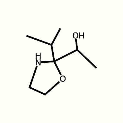 CC(C)C1(C(C)O)NCCO1